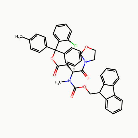 Cc1ccc(C(OC(=O)C[C@@H](C(=O)N2CCOC2)N(C)C(=O)OCC2c3ccccc3-c3ccccc32)(c2ccccc2)c2ccccc2Cl)cc1